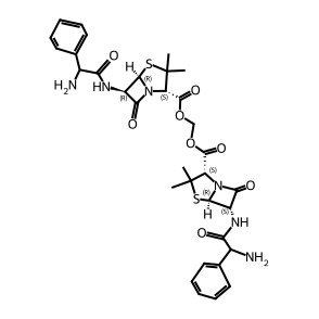 CC1(C)S[C@@H]2[C@H](NC(=O)C(N)c3ccccc3)C(=O)N2[C@H]1C(=O)OCOC(=O)[C@@H]1N2C(=O)[C@H](NC(=O)C(N)c3ccccc3)[C@H]2SC1(C)C